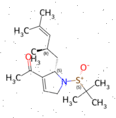 CC(=O)C1=CCN([S@+]([O-])C(C)(C)C)[C@H]1C[C@@H](C)C=C(C)C